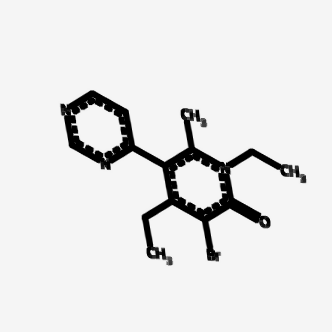 CCc1c(-c2ccncn2)c(C)n(CC)c(=O)c1Br